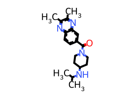 Cc1nc2ccc(C(=O)N3CCC(NC(C)C)CC3)cc2nc1C